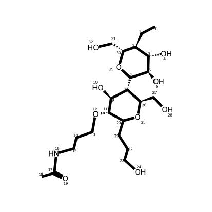 CC[C@H]1[C@H](O)[C@@H](O)C([C@H]2[C@H](O)[C@@H](OCCCNC(C)=O)C(CCCO)O[C@@H]2CO)O[C@@H]1CO